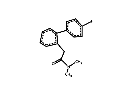 CN(C)C(=O)Cc1ccccc1-c1ccc(F)cc1